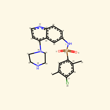 Cc1cc(S(=O)(=O)Nc2ccc3nccc(N4CCNCC4)c3c2)c(C)cc1Cl